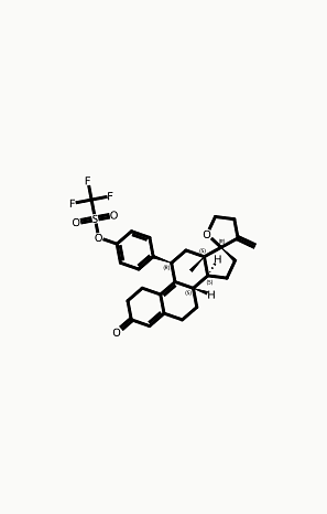 C=C1CCO[C@]12CC[C@H]1[C@@H]3CCC4=CC(=O)CCC4=C3[C@@H](c3ccc(OS(=O)(=O)C(F)(F)F)cc3)C[C@@]12C